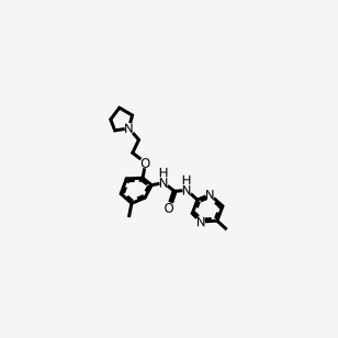 Cc1ccc(OCCN2CCCC2)c(NC(=O)Nc2cnc(C)cn2)c1